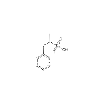 CC(Cc1ccccc1)S(=O)(=O)O